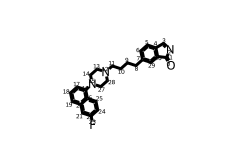 O=C1N=Cc2ccc(CCCCN3CCN(c4cccc5cc(F)ccc45)CC3)cc21